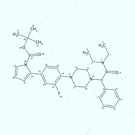 CCN(CC)C(=O)C(c1ccccc1)N1CCN(c2ccc(-c3cccn3C(=O)OC(C)(C)C)cc2F)CC1